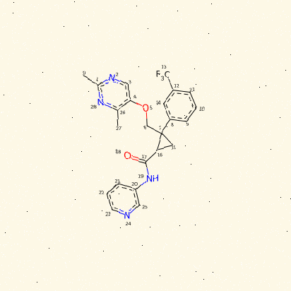 Cc1ncc(OCC2(c3cccc(C(F)(F)F)c3)CC2C(=O)Nc2cccnc2)c(C)n1